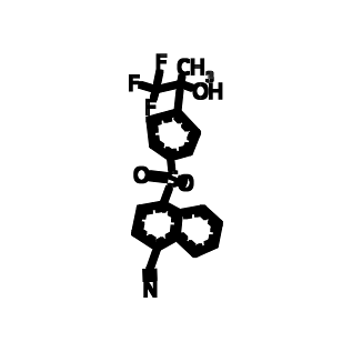 CC(O)(c1ccc(S(=O)(=O)c2ccc(C#N)c3ccccc23)cc1)C(F)(F)F